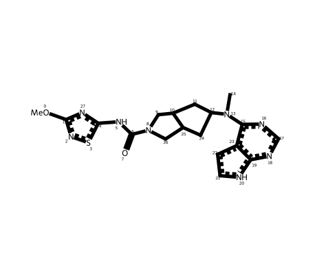 COc1nsc(NC(=O)N2CC3CC(N(C)c4ncnc5[nH]ccc45)CC3C2)n1